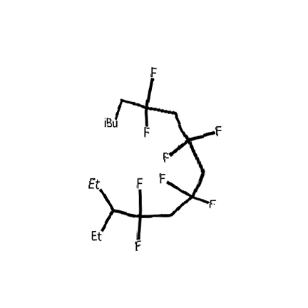 CCC(C)CC(F)(F)CC(F)(F)CC(F)(F)CC(F)(F)C(CC)CC